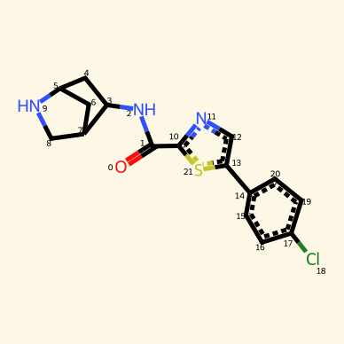 O=C(NC1CC2CC1CN2)c1ncc(-c2ccc(Cl)cc2)s1